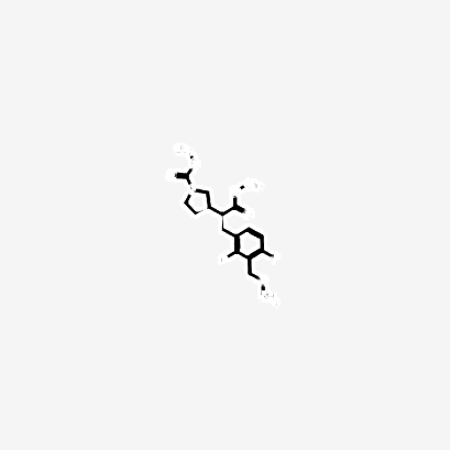 CC(C)(C)OC(=O)[C@@H](Cc1ccc(F)c(CON)c1F)[C@H]1CCN(C(=O)OC(C)(C)C)C1